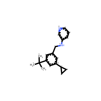 CC(C)(C)c1cc(CNc2cccnc2)cc(C2CC2)c1